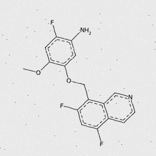 COc1cc(F)c(N)cc1OCc1c(F)cc(F)c2ccncc12